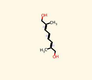 C\C(=C/C=C/C=C(\C)CO)CO